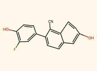 N#Cc1c(-c2ccc(O)c(F)c2)ccc2cc(O)ccc12